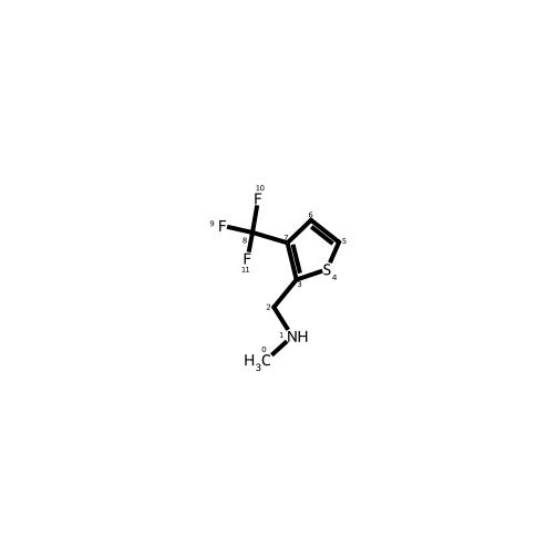 CNCc1sccc1C(F)(F)F